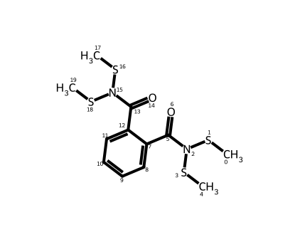 CSN(SC)C(=O)c1ccccc1C(=O)N(SC)SC